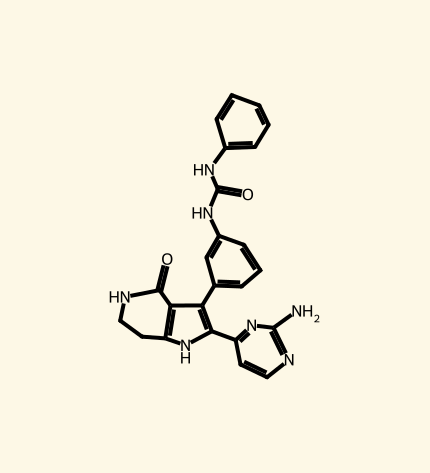 Nc1nccc(-c2[nH]c3c(c2-c2cccc(NC(=O)Nc4ccccc4)c2)C(=O)NCC3)n1